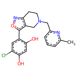 Cc1cccc(CN2CCc3noc(-c4cc(Cl)c(O)cc4O)c3C2)n1